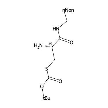 CCCCCCCCCCNC(=O)[C@@H](N)CSC(=O)OC(C)(C)C